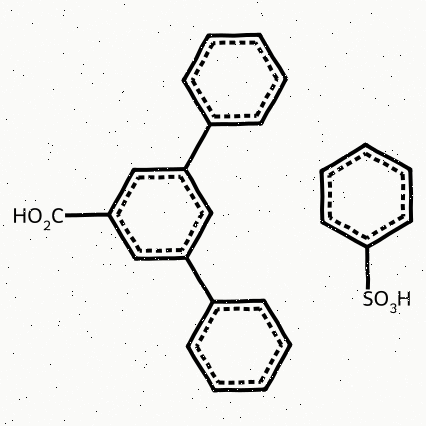 O=C(O)c1cc(-c2ccccc2)cc(-c2ccccc2)c1.O=S(=O)(O)c1ccccc1